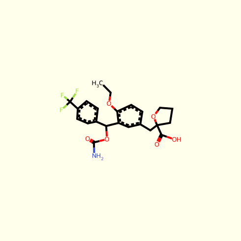 CCOc1ccc(CC2(C(=O)O)CCCO2)cc1C(OC(N)=O)c1ccc(C(F)(F)F)cc1